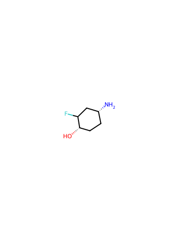 N[C@@H]1CC[C@H](O)C(F)C1